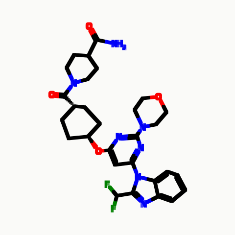 NC(=O)C1CCN(C(=O)[C@H]2CC[C@H](Oc3cc(-n4c(C(F)F)nc5ccccc54)nc(N4CCOCC4)n3)CC2)CC1